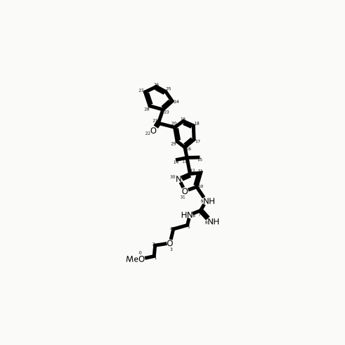 COCCOCCNC(=N)Nc1cc(C(C)(C)c2cccc(C(=O)c3ccccc3)c2)no1